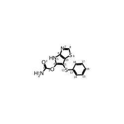 NC(=O)Oc1[nH]c2ncsc2c1Sc1ccccc1